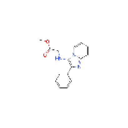 COC(=O)CNc1c(-c2ccccc2)nc2ccccn12